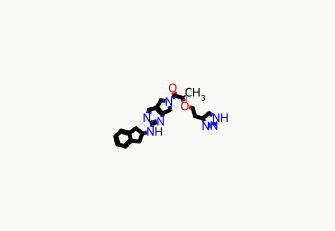 C[C@H](OCCC1CNN=N1)C(=O)N1Cc2cnc(NC3Cc4ccccc4C3)nc2C1